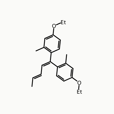 CC=CC=C(c1ccc(OCC)cc1C)c1ccc(OCC)cc1C